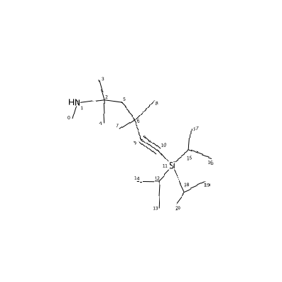 CNC(C)(C)CC(C)(C)C#C[Si](C(C)C)(C(C)C)C(C)C